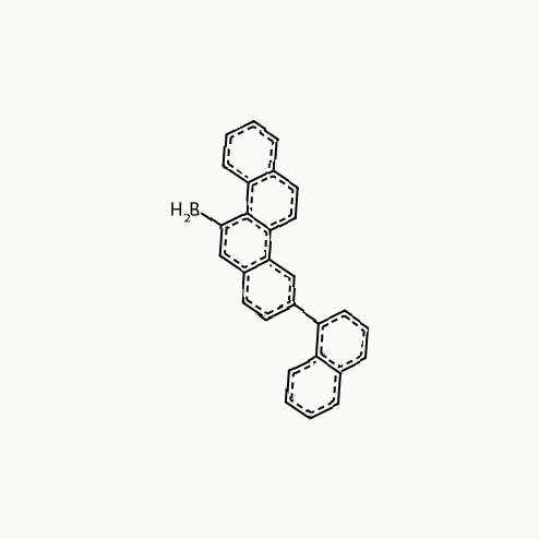 Bc1cc2ccc(-c3cccc4ccccc34)cc2c2ccc3ccccc3c12